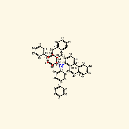 c1ccc(-c2ccc(N(c3ccc(-c4ccccc4)c4c3C3c5ccccc5C4c4ccccc43)c3cccc4c3ccc3ccccc34)cc2)cc1